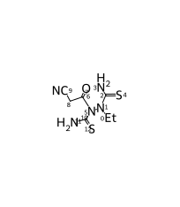 CCN(C(N)=S)N(C(=O)CC#N)C(N)=S